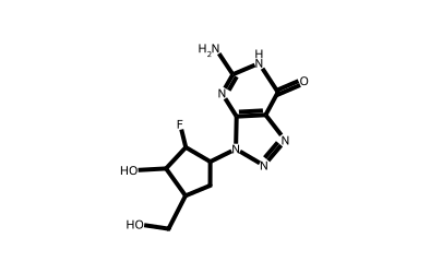 Nc1nc2c(nnn2C2CC(CO)C(O)C2F)c(=O)[nH]1